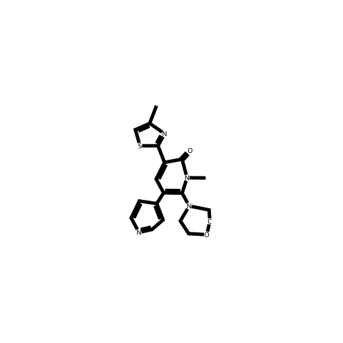 Cc1csc(-c2cc(-c3ccncc3)c(N3CCOCC3)n(C)c2=O)n1